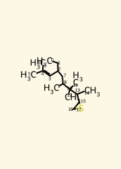 CCC(C=C(C)C)CC(C)C(C)(C)C(C)C1CS1